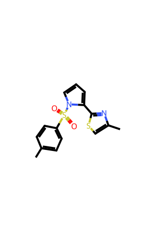 Cc1ccc(S(=O)(=O)n2cccc2-c2nc(C)cs2)cc1